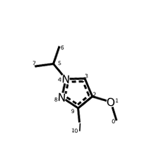 COc1cn(C(C)C)nc1I